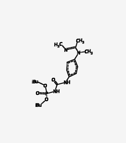 CCC(C)OP(=O)(NC(=O)Nc1ccc(N(C)C(C)=NC)cc1)OC(C)CC